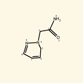 NC(=O)CN1CC=CC=N1